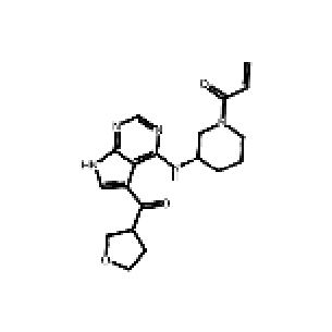 C=CC(=O)N1CCC[C@@H](Nc2ncnc3[nH]cc(C(=O)C4CCOC4)c23)C1